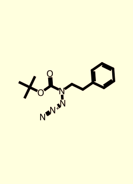 CC(C)(C)OC(=O)N(CCc1ccccc1)N=[N+]=[N-]